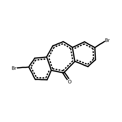 O=c1c2ccc(Br)cc2ccc2cc(Br)ccc12